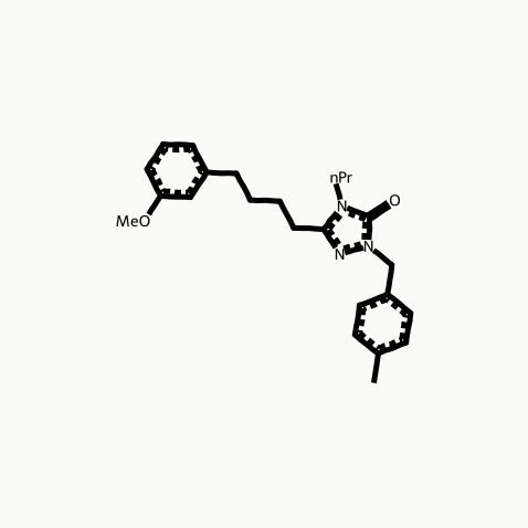 CCCn1c(CCCCc2cccc(OC)c2)nn(Cc2ccc(C)cc2)c1=O